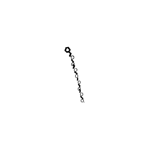 COCCOCCOCCOCCOCCOCCOCCOCCc1ccccc1